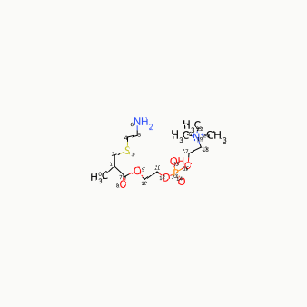 CC(CSCCN)C(=O)OCCOP(=O)(O)OCC[N+](C)(C)C